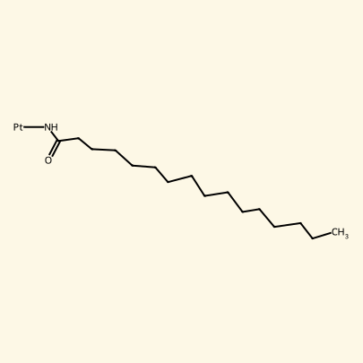 CCCCCCCCCCCCCCCC(=O)[NH][Pt]